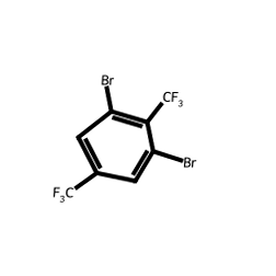 FC(F)(F)c1cc(Br)c(C(F)(F)F)c(Br)c1